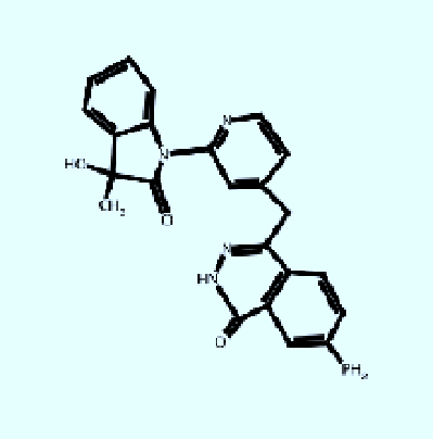 CC1(O)C(=O)N(c2cc(Cc3n[nH]c(=O)c4cc(P)ccc34)ccn2)c2ccccc21